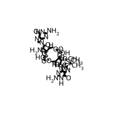 CC(C)(C)[Si](C)(C)O[C@@H]1[C@@H]2OP(=O)(O)OC[C@H]3O[C@@H](n4cnc5c(=O)[nH]c(N)nc54)[C@H](N)[C@@H]3OP(=O)(O)OC[C@H]2O[C@H]1n1cnc2c(=O)[nH]c(N)nc21